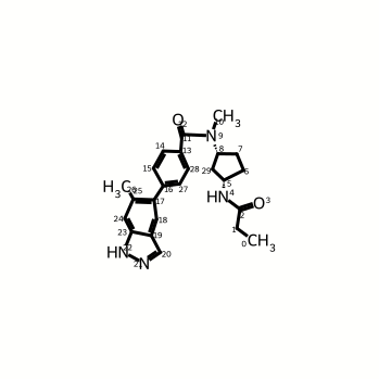 CCC(=O)N[C@H]1CC[C@@H](N(C)C(=O)c2ccc(-c3cc4cn[nH]c4cc3C)cc2)C1